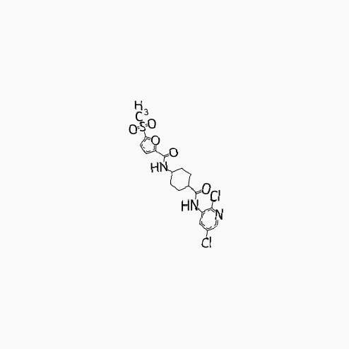 CS(=O)(=O)c1ccc(C(=O)NC2CCC(C(=O)Nc3cc(Cl)cnc3Cl)CC2)o1